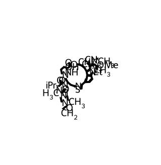 C=CC(=O)N1CCN(C(=O)N(C)[C@H](C(=O)N[C@H]2Cc3nc(cs3)-c3ccc4c(c3)c(c(/C(C=C)=C(/N=C\C)[C@H](C)OC)n4CC)CC(C)(C)COC(=O)[C@@]3(O)CCCN(N3)C2=O)C(C)C)C[C@H]1C